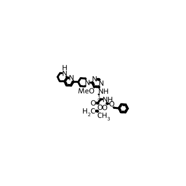 C=C(C)OC(=O)[C@H](CNc1ncnc(N2CCC(c3ccc4c(n3)NCCC4)CC2)c1OC)NC(=O)OCc1ccccc1